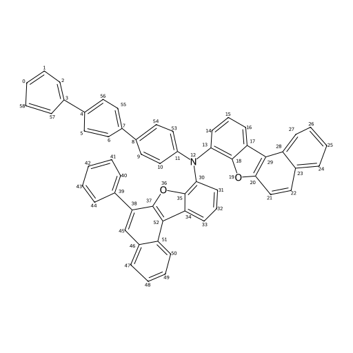 c1ccc(-c2ccc(-c3ccc(N(c4cccc5c4oc4ccc6ccccc6c45)c4cccc5c4oc4c(-c6ccccc6)cc6ccccc6c45)cc3)cc2)cc1